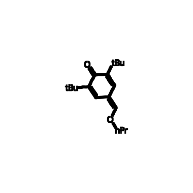 CCCOC=C1C=C(C(C)(C)C)C(=O)C(C(C)(C)C)=C1